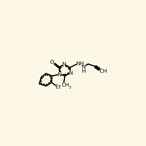 C#CCNNc1nc(C)n(-c2ccccc2CC)c(=O)n1